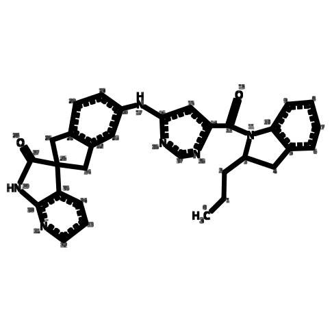 CCCC1Cc2ccccc2N1C(=O)c1cc(Nc2ccc3c(c2)CC2(C3)C(=O)Nc3ncccc32)ncn1